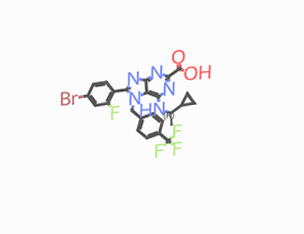 C[C@@H](Nc1nc(C(=O)O)nc2nc(-c3ccc(Br)cc3F)n(Cc3ccc(C(F)(F)F)cc3)c12)C1CC1